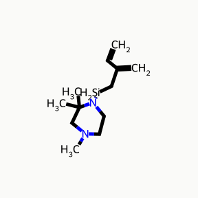 C=CC(=C)C[SiH2]N1CCN(C)CC1(C)C